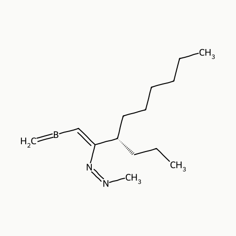 C=B/C=C(\N=N/C)[C@@H](CCC)CCCCCC